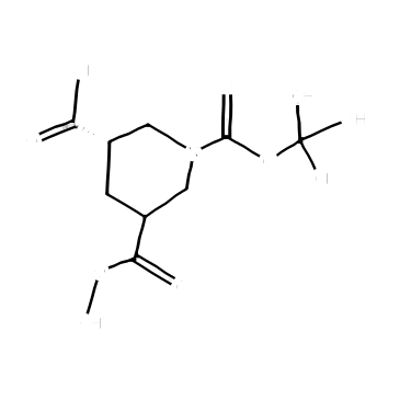 COC(=O)C1C[C@H](C(=O)O)CN(C(=O)OC(C)(C)C)C1